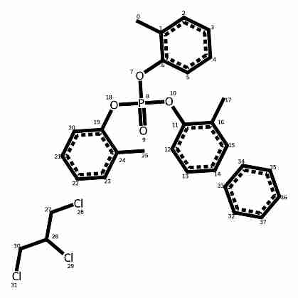 Cc1ccccc1OP(=O)(Oc1ccccc1C)Oc1ccccc1C.ClCC(Cl)CCl.c1ccccc1